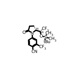 CC(C)(C)[Si](C)(C)O[C@H]([C@H]1CCC(=O)N1c1ccc(C#N)c(C(F)(F)F)c1)C(F)(F)F